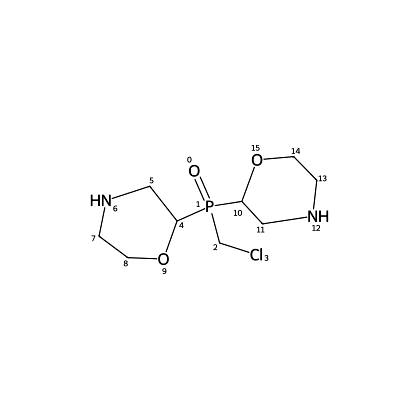 O=P(CCl)(C1CNCCO1)C1CNCCO1